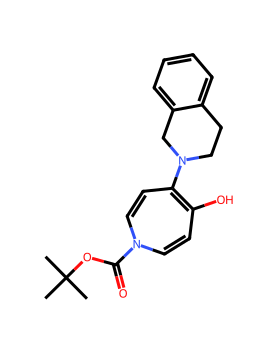 CC(C)(C)OC(=O)N1C=CC(O)=C(N2CCc3ccccc3C2)C=C1